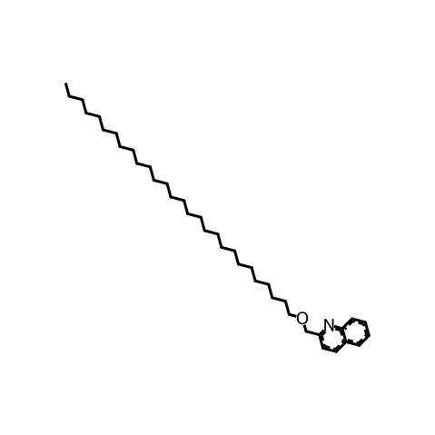 CCCCCCCCCCCCCCCCCCCCCCCCCCCCOCc1ccc2ccccc2n1